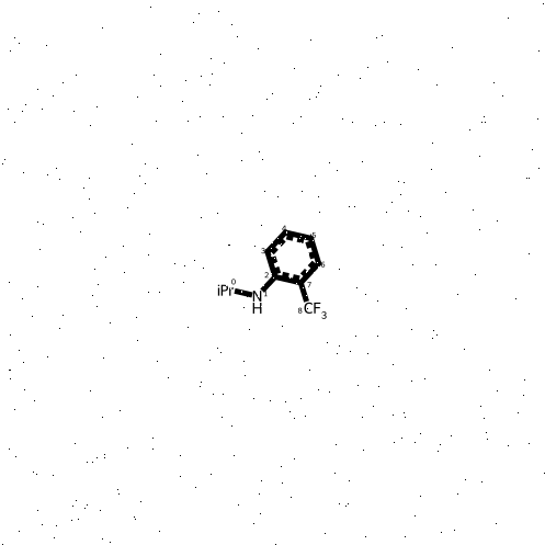 CC(C)Nc1cc[c]cc1C(F)(F)F